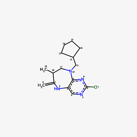 C=C1Nc2cnc(Cl)nc2N(CC2CCCC2)CC1C